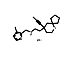 CC#CC1(CCNCc2sccc2C)CCOC2(CCCC2)C1.Cl